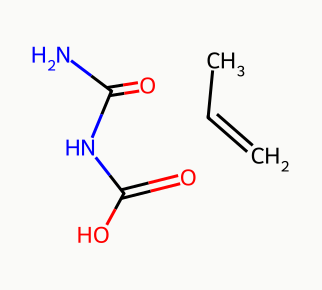 C=CC.NC(=O)NC(=O)O